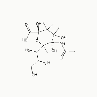 CC(=O)N[C@@]1(O)C(C)(C(O)C(O)CO)O[C@](O)(C(=O)O)C(C)(C)C1(C)O